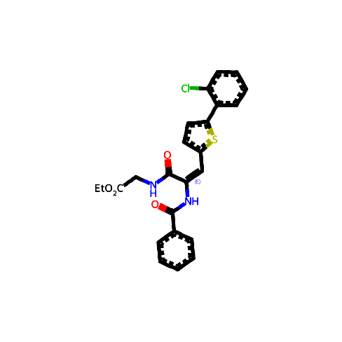 CCOC(=O)CNC(=O)/C(=C\c1ccc(-c2ccccc2Cl)s1)NC(=O)c1ccccc1